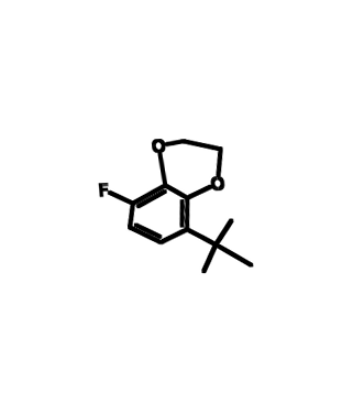 CC(C)(C)c1ccc(F)c2c1OCCO2